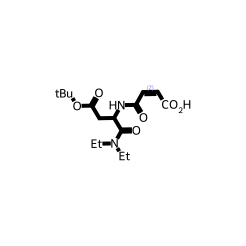 CCN(CC)C(=O)C(CC(=O)OC(C)(C)C)NC(=O)/C=C\C(=O)O